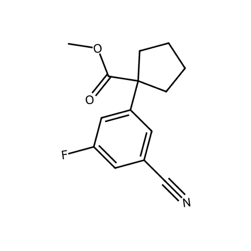 COC(=O)C1(c2cc(F)cc(C#N)c2)CCCC1